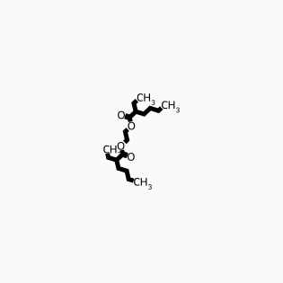 CCCCC(CC)C(=O)OCCOC(=O)C(CC)CCCC